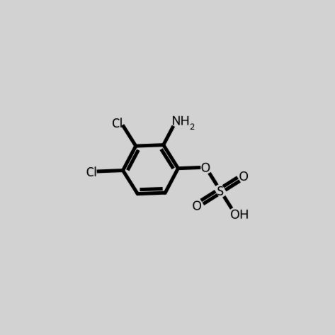 Nc1c(OS(=O)(=O)O)ccc(Cl)c1Cl